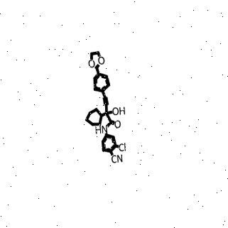 N#Cc1ccc(NC(=O)C(O)(C#Cc2ccc(C3OCCO3)cc2)C2CCCCC2)cc1Cl